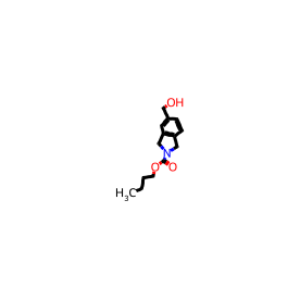 CCCCOC(=O)N1Cc2ccc(CO)cc2C1